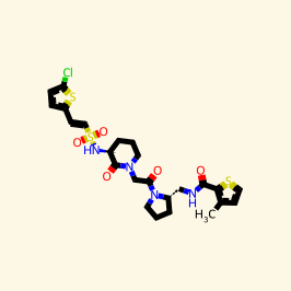 Cc1ccsc1C(=O)NC[C@@H]1CCCN1C(=O)CN1CCC[C@H](NS(=O)(=O)/C=C/c2ccc(Cl)s2)C1=O